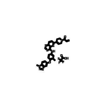 C=CC(=O)N1CC=C(c2ccc3ncnc(Nc4ccc(Oc5ccc6c(c5)nnn6C)c(C)c4)c3n2)CC1.O=C(O)C(F)(F)F